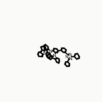 c1ccc(-c2nc(-c3ccccc3)nc(-c3cccc(-c4ccc(-n5c6ccccc6c6ccccc65)c(-n5c6ccccc6c6ccc(-n7c8ccccc8c8ccccc87)cc65)c4)c3)n2)cc1